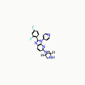 Fc1ccc(-c2nc3ccc(N4C[C@H]5C[C@@H]4CN5)nc3n2-c2ccncc2)c(F)c1